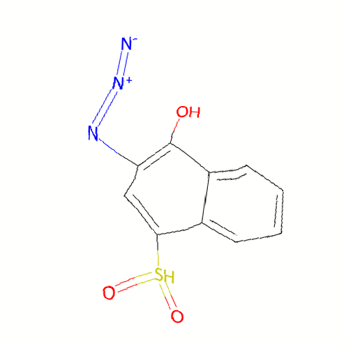 [N-]=[N+]=Nc1cc([SH](=O)=O)c2ccccc2c1O